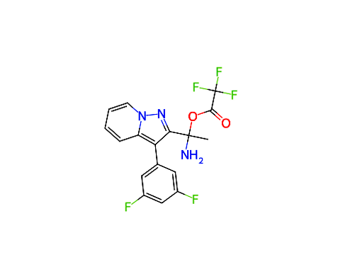 CC(N)(OC(=O)C(F)(F)F)c1nn2ccccc2c1-c1cc(F)cc(F)c1